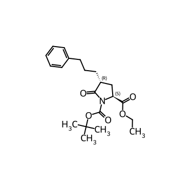 CCOC(=O)[C@@H]1C[C@@H](CCCc2ccccc2)C(=O)N1C(=O)OC(C)(C)C